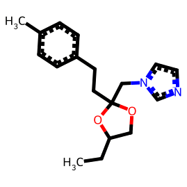 CCC1COC(CCc2ccc(C)cc2)(Cn2ccnc2)O1